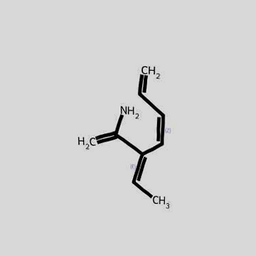 C=C/C=C\C(=C/C)C(=C)N